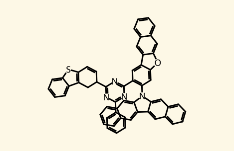 C1=CC(c2nc(-c3ccccc3)nc(-c3cc4c(cc3-n3c5cc6ccccc6cc5c5cc6ccccc6cc53)oc3cc5ccccc5cc34)n2)Cc2c1sc1ccccc21